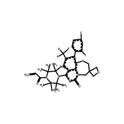 BC1(B)N(C(=O)C=C)C(B)(B)C(B)(B)N(c2nc(=O)n3c4c(c(-c5ccc(F)cc5F)c(C(F)(F)F)cc24)SCC2(COC2)C3)C1(B)B